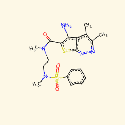 Cc1nnc2sc(C(=O)N(C)CCN(C)S(=O)(=O)c3ccccc3)c(N)c2c1C